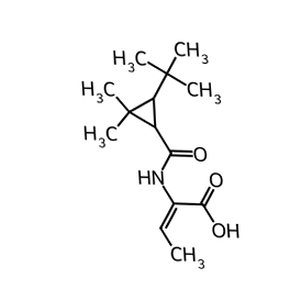 CC=C(NC(=O)C1C(C(C)(C)C)C1(C)C)C(=O)O